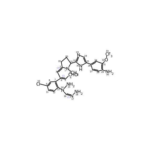 CN1/C(=C\C(=C/C=O)c2cc(Cl)ccc2N(N)/C=N\N)CCC1c1ncc(-c2ccc(N)c(OC(F)(F)F)c2)[nH]1